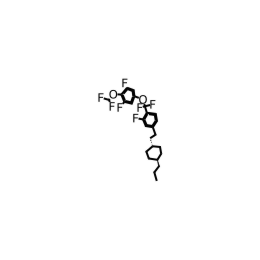 CCC[C@H]1CC[C@H](CCc2ccc(C(F)(F)Oc3cc(F)c(OC(F)F)c(F)c3)c(F)c2)CC1